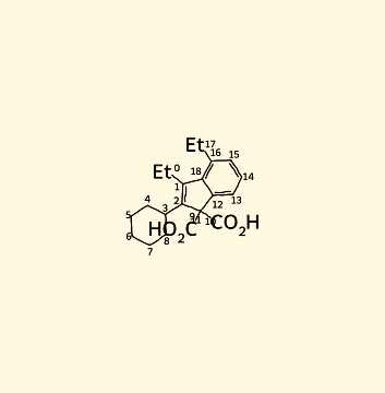 CCC1=C(C2CCCCC2)C(C(=O)O)(C(=O)O)c2cccc(CC)c21